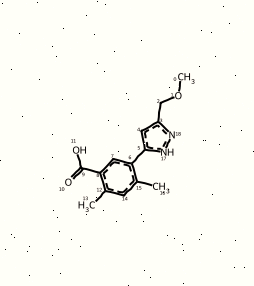 COCc1cc(-c2cc(C(=O)O)c(C)cc2C)[nH]n1